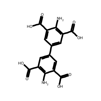 Nc1c(C(=O)O)cc(-c2cc(C(=O)O)c(N)c(C(=O)O)c2)cc1C(=O)O